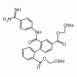 COCOC(=O)c1ccc(-c2ccccc2C(=O)OCOC)c(C(=O)Nc2ccc(C(=N)N)cc2)c1